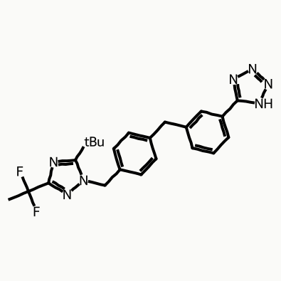 CC(C)(C)c1nc(C(C)(F)F)nn1Cc1ccc(Cc2cccc(-c3nnn[nH]3)c2)cc1